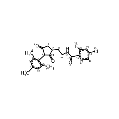 Cc1cc(C)c(C2C(=O)CC(CCNC(=O)c3ncc(Cl)cc3F)C2=O)c(C)c1